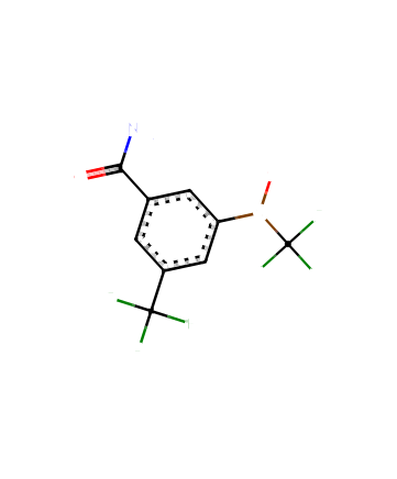 NC(=O)c1cc([S+]([O-])C(F)(F)F)cc(C(F)(F)F)c1